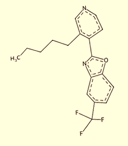 CCCCCc1cnccc1-c1nc2cc(C(F)(F)F)ccc2o1